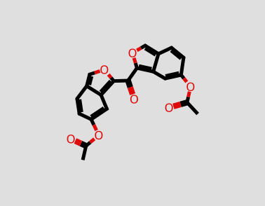 CC(=O)Oc1ccc2coc(C(=O)c3occ4ccc(OC(C)=O)cc34)c2c1